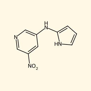 O=[N+]([O-])c1cncc(Nc2ccc[nH]2)c1